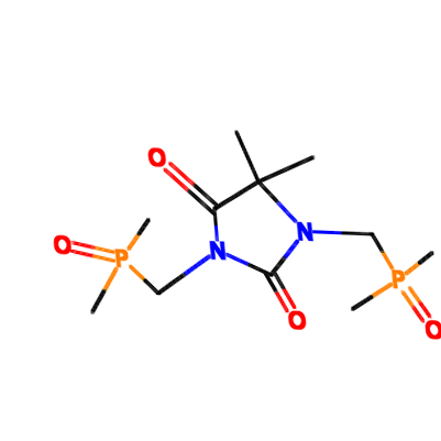 CC1(C)C(=O)N(CP(C)(C)=O)C(=O)N1CP(C)(C)=O